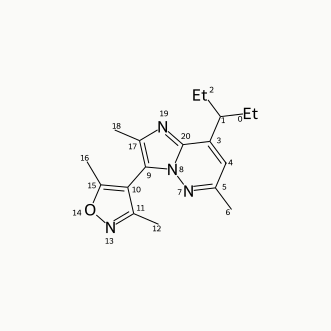 CCC(CC)c1cc(C)nn2c(-c3c(C)noc3C)c(C)nc12